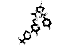 O=C(NCc1cc(N2CCC(C(F)(F)F)CC2)c(F)cn1)[C@H]1C[C@@H](F)CN1S(=O)(=O)c1ccc(F)cc1